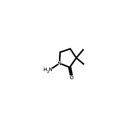 CC1(C)CCN(N)C1=O